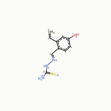 C=Cc1cc(O)ccc1/C=N/NC(N)=S